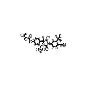 C=C(C)OC(=O)Oc1ccc(C2(C)C(=O)N(c3ccc(C#N)c(C(F)(F)F)c3)C(=O)N2CS(C)(=O)=O)cc1